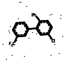 CC(C)c1ccc(Cl)cc1-c1cccc(C(F)(F)F)c1